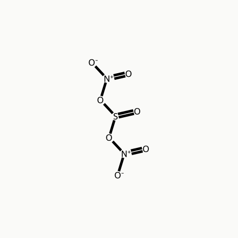 O=[N+]([O-])OS(=O)O[N+](=O)[O-]